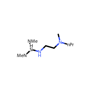 CCCN(C)CCN[SiH](NC)NC